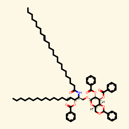 CCCCCCCC/C=C/CCCCCCCCCCCCCC(=O)N[C@@H](CO[C@H]1O[C@@H]2COC(c3ccccc3)O[C@@H]2[C@H](OC(=O)c2ccccc2)[C@H]1OC(=O)c1ccccc1)[C@@H](/C=C/CCCCCCCCCCCCC)OC(=O)c1ccccc1